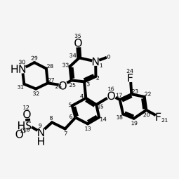 Cn1cc(-c2cc(CCN[SH](=O)=O)ccc2Oc2ccc(F)cc2F)c(OC2CCNCC2)cc1=O